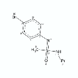 CC(C)NS(C)(=O)=Nc1ccc(Br)cc1